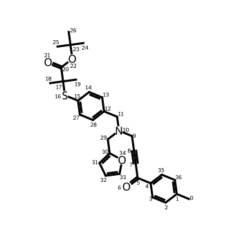 Cc1ccc(C(=O)C#CCN(Cc2ccc(SC(C)(C)C(=O)OC(C)(C)C)cc2)Cc2ccco2)cc1